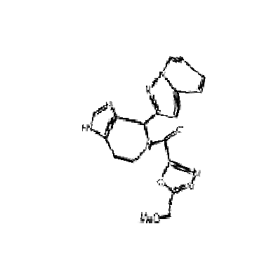 COCc1nnc(C(=O)N2CCc3[nH]cnc3C2c2cc3ccccn3n2)o1